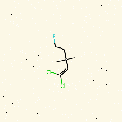 CC(C)(C=C(Cl)Cl)CCF